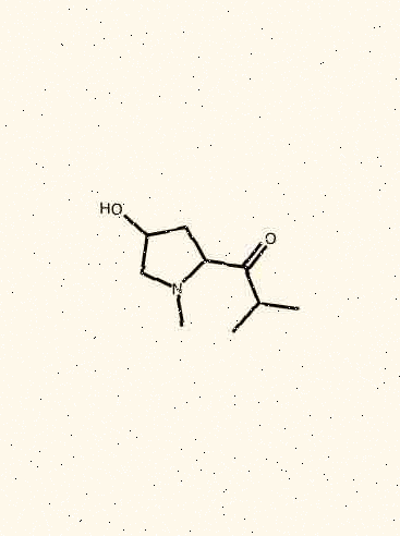 CC(C)C(=O)C1CC(O)CN1C